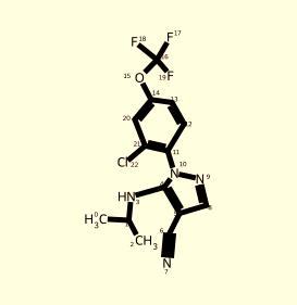 CC(C)Nc1c(C#N)cnn1-c1ccc(OC(F)(F)F)cc1Cl